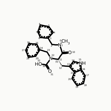 CN(Cc1ccccc1)C(=O)[C@H](Cc1c[nH]c2ccccc12)N(Cc1ccccc1)C(=O)O